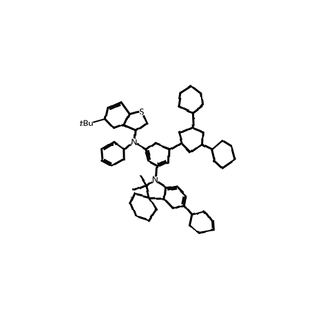 CC(C)(C)C1C=CC2SCC(N(C3=CC(N4C5=CC=C(C6CCCCC6)CC5C5(CCCCC5)C4(C)C)=CC(C4CC(C5CCCCC5)CC(C5CCCCC5)C4)C3)C3C=CC=CC3)C2C1